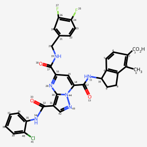 Cc1c(C(=O)O)ccc2c1CCC2NC(=O)c1cc(C(=O)NCc2ccc(F)c(F)c2)nc2c(C(=O)Nc3ccccc3Cl)cnn12